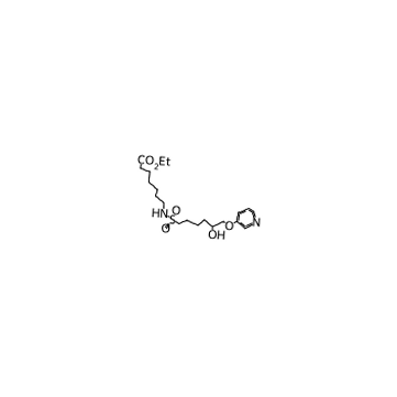 CCOC(=O)CCCCCCNS(=O)(=O)CCCCC(O)COc1cccnc1